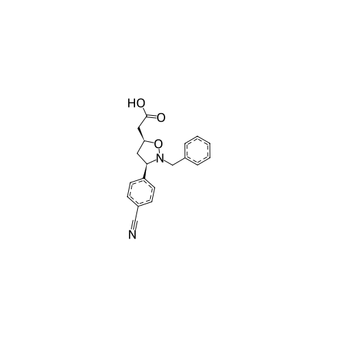 N#Cc1ccc([C@H]2C[C@@H](CC(=O)O)ON2Cc2ccccc2)cc1